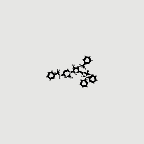 CC(C)(C)[Si](OCC1OC(n2ccc(NC(=O)c3ccccc3)nc2=O)C(F)C1OC(=O)c1ccccc1)(c1ccccc1)c1ccccc1